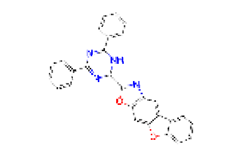 c1ccc(C2=NC(c3nc4cc5c(cc4o3)oc3ccccc35)NC(c3ccccc3)=N2)cc1